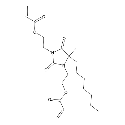 C=CC(=O)OCCN1C(=O)N(CCOC(=O)C=C)C(C)(CCCCCCC)C1=O